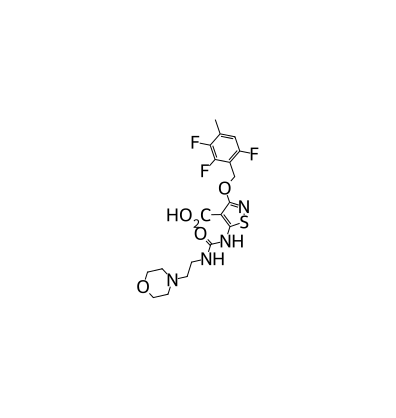 Cc1cc(F)c(COc2nsc(NC(=O)NCCN3CCOCC3)c2C(=O)O)c(F)c1F